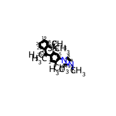 Cc1cc2c(cc1N1C=CN(C)[C@@H]1C)[Si](C)(C)c1ccccc1C2(C)C